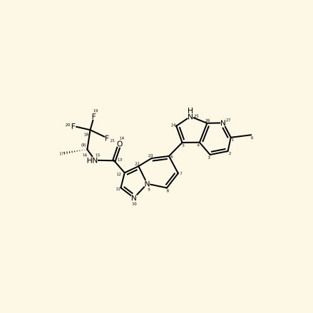 Cc1ccc2c(-c3ccn4ncc(C(=O)N[C@H](C)C(F)(F)F)c4c3)c[nH]c2n1